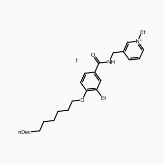 CCCCCCCCCCCCCCCCOc1ccc(C(=O)NCc2ccc[n+](CC)c2)cc1CC.[I-]